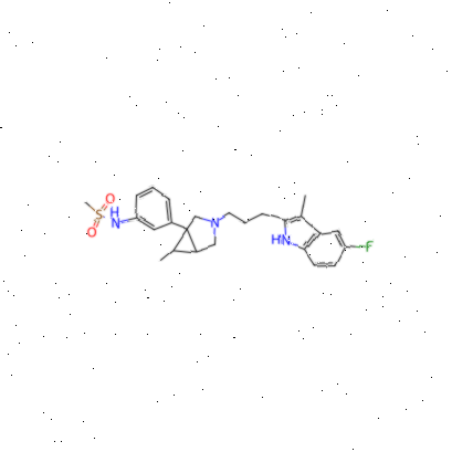 Cc1c(CCCN2CC3C(C)C3(c3cccc(NS(C)(=O)=O)c3)C2)[nH]c2ccc(F)cc12